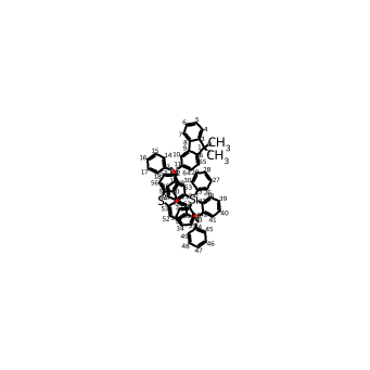 CC1(C)c2ccccc2-c2cc(N(c3ccccc3)c3cccc([Si](c4ccccc4)(c4ccccc4)c4ccccc4N(c4ccccc4)c4ccc5sc6ccccc6c5c4)c3)ccc21